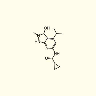 CC(C)c1cc(NC(=O)C2CC2)nc2c1C(O)N(C)N2